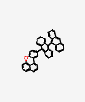 c1ccc2c(-c3c4ccccc4c(-c4ccc5c(c4)-c4cccc6cccc(c46)O5)c4ccccc34)c3ccccc3cc2c1